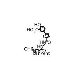 CCCCC[C@H](CN(O)C=O)C(=O)NCNC(=O)c1ccc(-c2ccc(O)c(C(=O)O)c2)o1